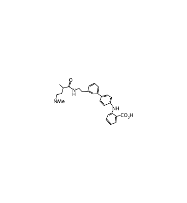 CNCCC(C)C(=O)NCCc1cccc(-c2ccc(Nc3ccccc3C(=O)O)cc2)c1